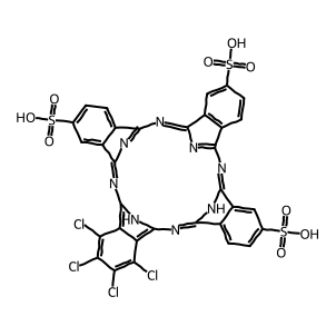 O=S(=O)(O)c1ccc2c(c1)-c1nc3nc(nc4[nH]c(nc5[nH]c(nc-2n1)c1cc(S(=O)(=O)O)ccc51)c1c(Cl)c(Cl)c(Cl)c(Cl)c41)-c1cc(S(=O)(=O)O)ccc1-3